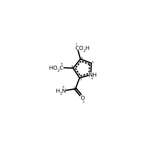 NC(=O)c1[nH]cc(C(=O)O)c1C(=O)O